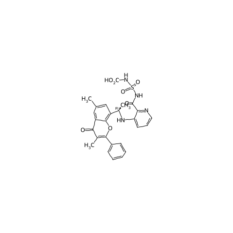 Cc1cc([C@@H](C)Nc2cccnc2C(=O)NS(=O)(=O)NC(=O)O)c2oc(-c3ccccc3)c(C)c(=O)c2c1